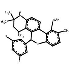 COc1c(O)ccc2c1-c1ccc3c(c1C(c1cc(F)cc(F)c1)O2)C(C)CC(C)(C)N3